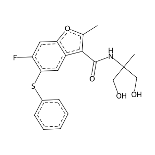 Cc1oc2cc(F)c(Sc3ccccc3)cc2c1C(=O)NC(C)(CO)CO